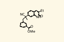 CCc1cc2ccc(C(C)(C#N)Cc3cccc(C(=O)OC)c3)cc2[nH]c1=O